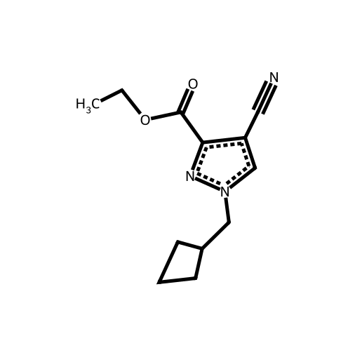 CCOC(=O)c1nn(CC2CCC2)cc1C#N